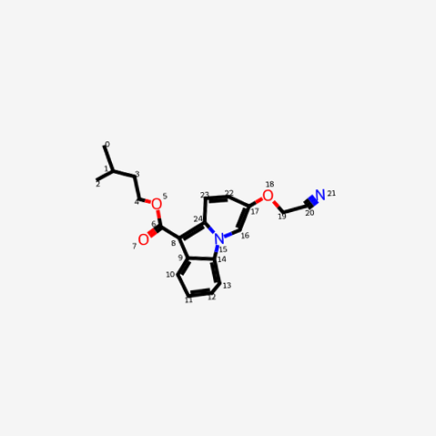 CC(C)CCOC(=O)c1c2ccccc2n2cc(OCC#N)ccc12